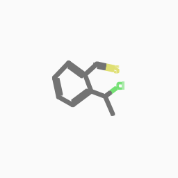 CC(Cl)c1ccccc1[C]=S